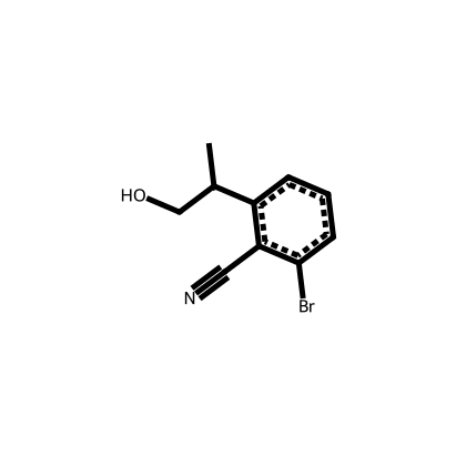 C[C](CO)c1cccc(Br)c1C#N